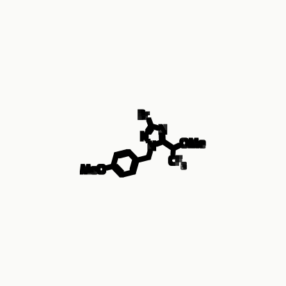 COc1ccc(Cn2nc(Br)nc2C(OC)C(F)(F)F)cc1